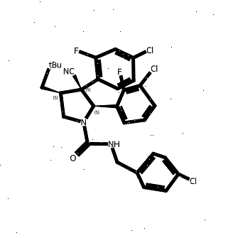 CC(C)(C)C[C@@H]1CN(C(=O)NCc2ccc(Cl)cc2)[C@H](c2cccc(Cl)c2F)[C@@]1(C#N)c1ccc(Cl)cc1F